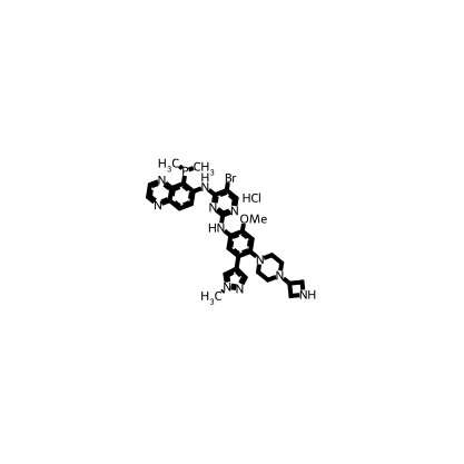 COc1cc(N2CCN(C3CNC3)CC2)c(-c2cnn(C)c2)cc1Nc1ncc(Br)c(Nc2ccc3nccnc3c2P(C)C)n1.Cl